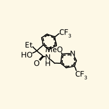 CCC(O)(C(=O)NCc1cc(C(F)(F)F)cnc1OC)c1ccc(C(F)(F)F)cc1